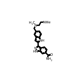 CNCCN(C)Cc1ccc2[nH]c(-c3n[nH]c4cc(C(N)=O)ccc34)cc2c1